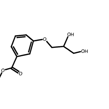 COC(=O)c1cccc(OCC(O)CO)c1